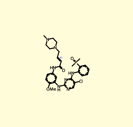 COc1ccc(NC(=O)/C=C/CN2CCN(C)CC2)cc1Nc1ncc(Cl)c(Nc2ccccc2P(C)(C)=O)n1